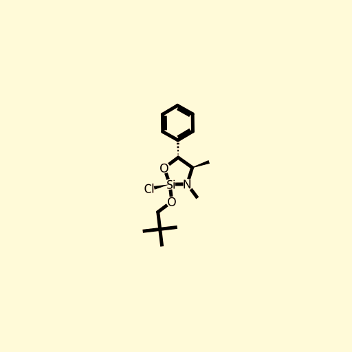 C[C@@H]1[C@@H](c2ccccc2)O[Si@@](Cl)(OCC(C)(C)C)N1C